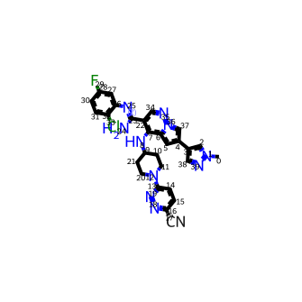 Cn1cc(-c2cc3c(NC4CCN(c5ccc(C#N)nn5)CC4)c(/C(N)=N/c4cc(F)ccc4Cl)cnn3c2)cn1